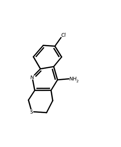 Nc1c2c(nc3ccc(Cl)cc13)CSCC2